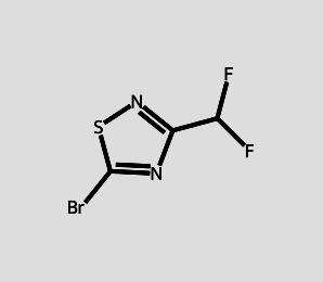 FC(F)c1nsc(Br)n1